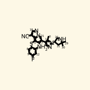 Cc1c(-c2cc(Sc3ccc(F)cc3N)c3c(C#N)cnn3c2)cnn1[C@@H]1CNC(C)(C)C1